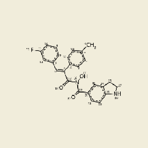 Cc1ccc(C(=Cc2cccc(F)c2)C(=O)N(O)C(=O)c2ccc3c(c2)CCN3)cc1